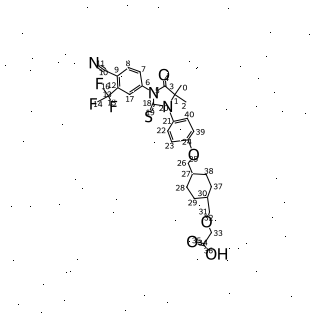 CC1(C)C(=O)N(c2ccc(C#N)c(C(F)(F)F)c2)C(=S)N1c1ccc(OCC2CCC(COCC(=O)O)CC2)cc1